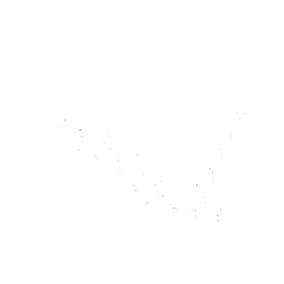 CCCCCCCCOc1ccccc1OC(=O)c1ccc(OC(=O)c2ccc(O)cc2)cc1